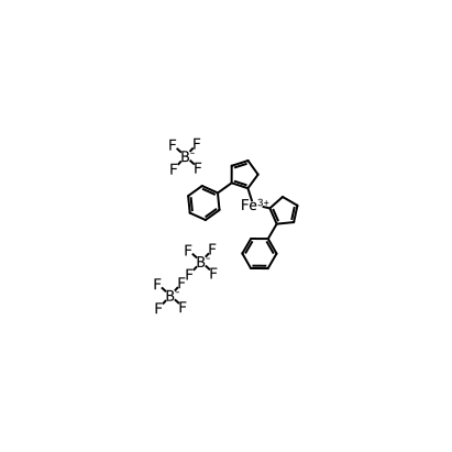 C1=CC(c2ccccc2)=[C]([Fe+3][C]2=C(c3ccccc3)C=CC2)C1.F[B-](F)(F)F.F[B-](F)(F)F.F[B-](F)(F)F